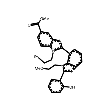 COCCn1c(-c2ccccc2O)nc2cccc(-c3nc4cc(C(=O)OC)ccc4n3CCC(C)C)c21